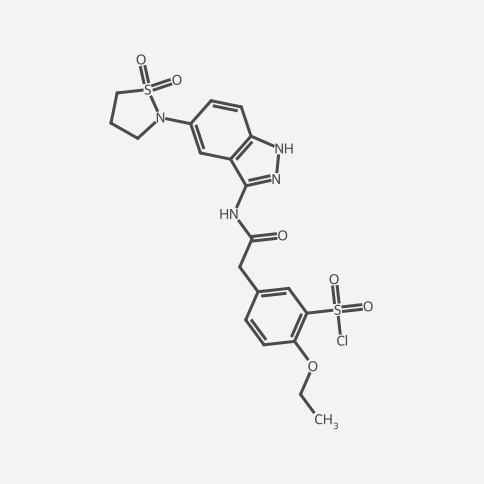 CCOc1ccc(CC(=O)Nc2n[nH]c3ccc(N4CCCS4(=O)=O)cc23)cc1S(=O)(=O)Cl